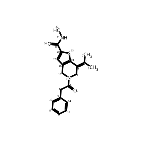 CC(C)=C1CN(C(=O)Cc2ccccc2)Cc2cc(C(=O)NO)sc21